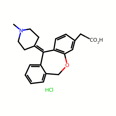 CN1CCC(=C2c3ccccc3COc3cc(CC(=O)O)ccc32)CC1.Cl